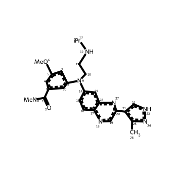 CNC(=O)c1cc(OC)cc(N(CCNC(C)C)c2ccc3ncc(-c4c[nH]nc4C)nc3c2)c1